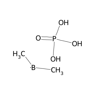 C[B]C.O=P(O)(O)O